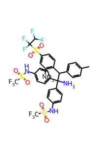 Cc1ccc(C(c2ccc(S(=O)(=O)C(F)(F)C(F)F)cc2[N+](=O)[O-])C(N)(c2ccc(NS(=O)(=O)C(F)(F)F)cc2)c2ccc(NS(=O)(=O)C(F)(F)F)cc2)cc1